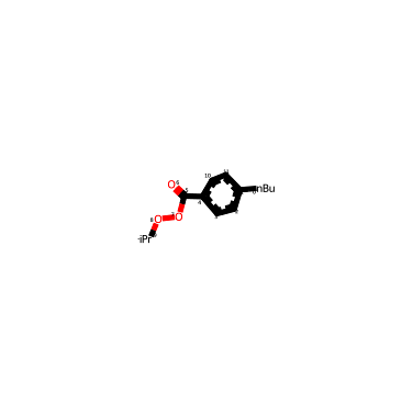 CCCCc1ccc(C(=O)OO[C](C)C)cc1